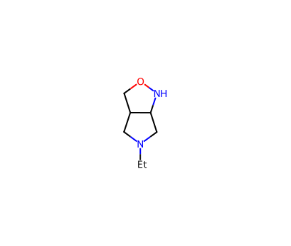 CCN1CC2CONC2C1